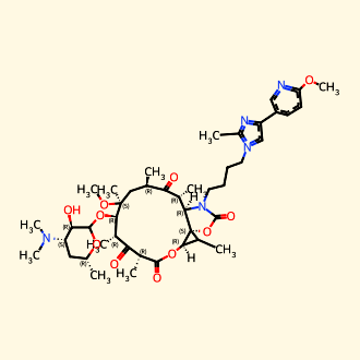 COc1ccc(-c2cn(CCCCN3C(=O)O[C@]45C(C)[C@H]4OC(=O)[C@H](C)C(=O)[C@H](C)[C@@H](OC4O[C@H](C)C[C@H](N(C)C)[C@H]4O)[C@@](C)(OC)C[C@@H](C)C(=O)[C@H](C)[C@@H]35)c(C)n2)cn1